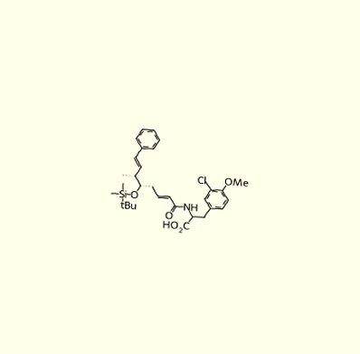 COc1ccc(CC(NC(=O)/C=C/C[C@H](O[Si](C)(C)C(C)(C)C)[C@H](C)/C=C/c2ccccc2)C(=O)O)cc1Cl